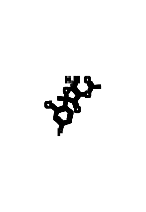 CC(=O)OC1=C(N)OC(C)(c2ccc(F)cc2Cl)C1=O